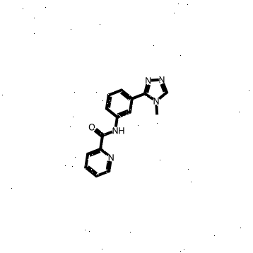 Cn1cnnc1-c1cccc(NC(=O)c2ccccn2)c1